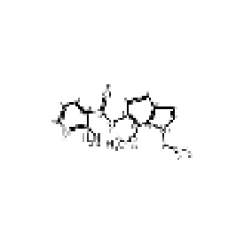 CCn1ccc2ccc(OC(=O)c3cccnc3N)c(OC)c21